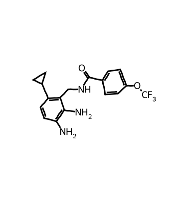 Nc1ccc(C2CC2)c(CNC(=O)c2ccc(OC(F)(F)F)cc2)c1N